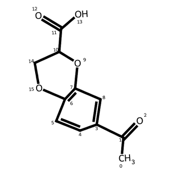 CC(=O)c1ccc2c(c1)OC(C(=O)O)CO2